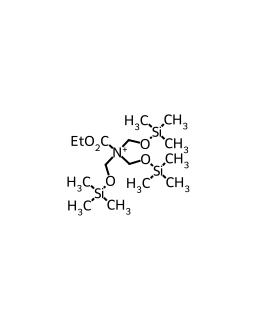 CCOC(=O)[N+](CO[Si](C)(C)C)(CO[Si](C)(C)C)CO[Si](C)(C)C